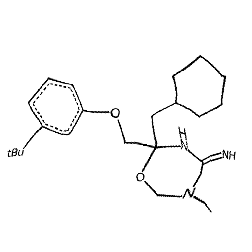 CN1COC(COc2cccc(C(C)(C)C)c2)(CC2CCCCC2)NC1=N